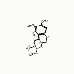 COc1cc2c(cc1OC)[C@@H]1CN(C)[C@H](CC(C)(C)C)CN1CC2